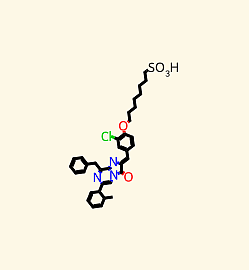 CC1C=CC=CC1C1=CN2C(=O)/C(=C/c3ccc(OCCCCCCCCS(=O)(=O)O)c(Cl)c3)N=C2C(Cc2ccccc2)=N1